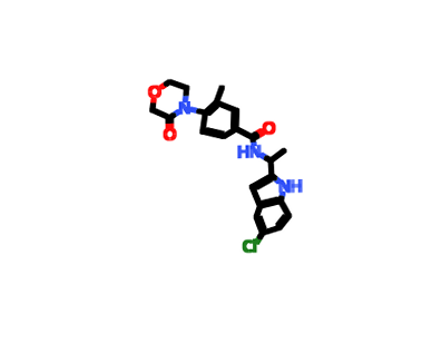 Cc1cc(C(=O)NC(C)c2cc3cc(Cl)ccc3[nH]2)ccc1N1CCOCC1=O